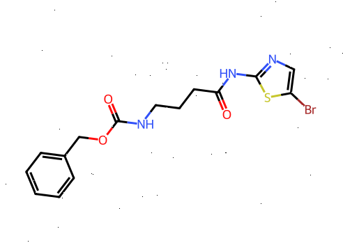 O=C(CCCNC(=O)OCc1ccccc1)Nc1ncc(Br)s1